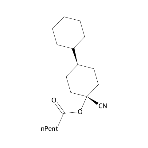 CCCCCC(=O)O[C@]1(C#N)CC[C@@H](C2CCCCC2)CC1